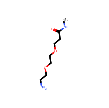 CCCCNC(=O)CCOCCOCCN